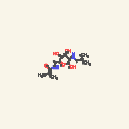 C=C(C)CNC1C(O)OC(CNC(=O)C(=C)C)C(O)C1O